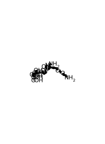 NCCOCCOCC#Cc1cn([C@H]2CC[C@@H](COP(=O)(O)OP(=O)(O)OP(=O)(O)O)O2)c(=O)nc1N